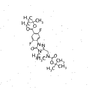 CN(Cc1nn(-c2cc(F)c(C(=O)OC(C)(C)C)cc2F)c(=O)n1C)C(=O)OC(C)(C)C